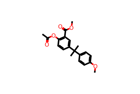 COC(=O)c1cc(C(C)(C)c2ccc(OC)cc2)ccc1OC(C)=O